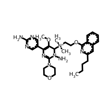 CCCCc1cc2ccccc2c(OCC[N+](C)(C)C2C(OC)=C(c3cnc(N)nc3)N=C(N3CCOCC3)N2N)n1